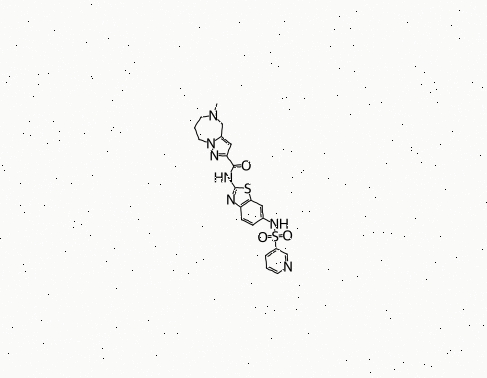 CN1CCCn2nc(C(=O)Nc3nc4ccc(NS(=O)(=O)c5cccnc5)cc4s3)cc2C1